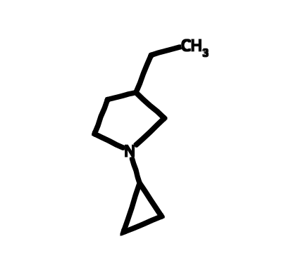 CCC1CCN(C2CC2)C1